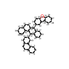 c1ccc2c(c1)ccc1ccc(-c3c4ccccc4c(-c4ccc5oc6ccccc6c5c4)c4ccc5ccccc5c34)cc12